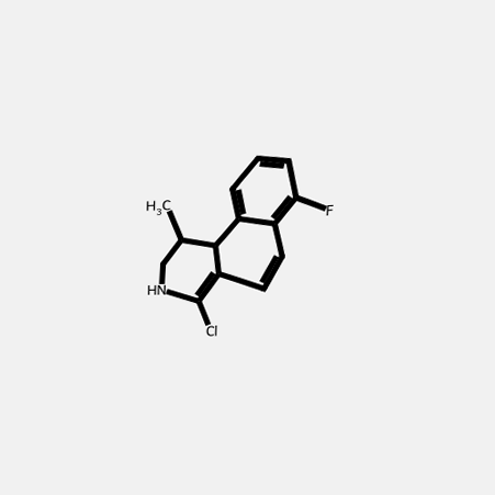 CC1CNC(Cl)=C2C=Cc3c(F)cccc3C21